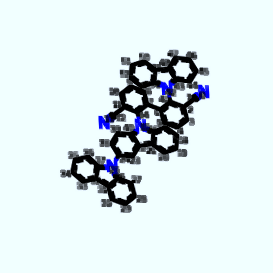 N#Cc1cccc(-c2cccc(C#N)c2-n2c3ccccc3c3cc(-n4c5ccccc5c5ccccc54)ccc32)c1-n1c2ccccc2c2ccccc21